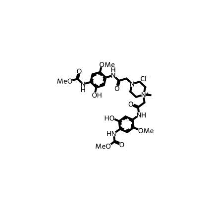 COC(=O)Nc1cc(OC)c(NC(=O)CN2CC[N+](C)(CC(=O)Nc3cc(O)c(NC(=O)OC)cc3OC)CC2)cc1O.[Cl-]